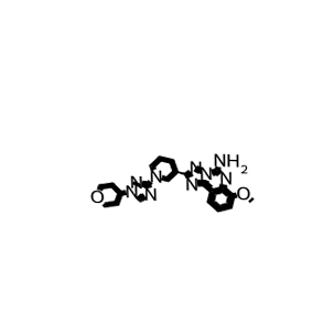 COc1cccc2c1nc(N)n1nc([C@@H]3CCCN(c4ncn(C5CCOCC5)n4)C3)nc21